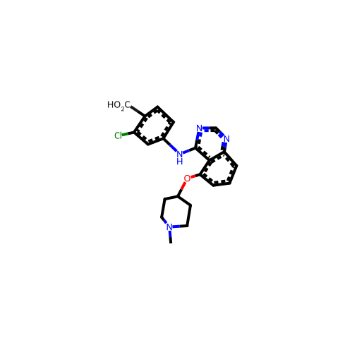 CN1CCC(Oc2cccc3ncnc(Nc4ccc(C(=O)O)c(Cl)c4)c23)CC1